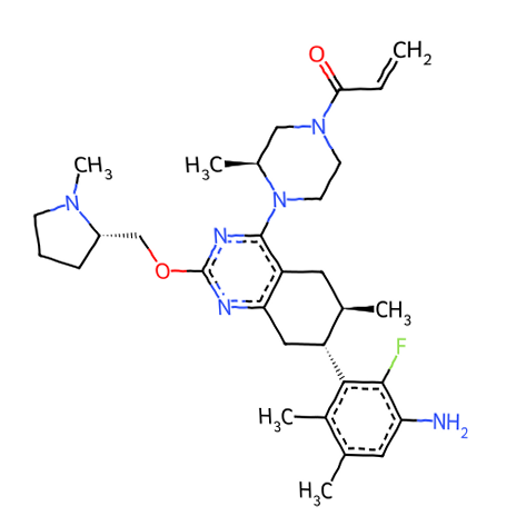 C=CC(=O)N1CCN(c2nc(OC[C@@H]3CCCN3C)nc3c2C[C@@H](C)[C@H](c2c(C)c(C)cc(N)c2F)C3)[C@@H](C)C1